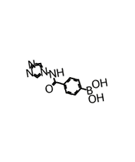 O=C(Nn1cnnc1)c1ccc(B(O)O)cc1